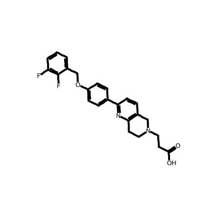 O=C(O)CCN1CCc2nc(-c3ccc(OCc4cccc(F)c4F)cc3)ccc2C1